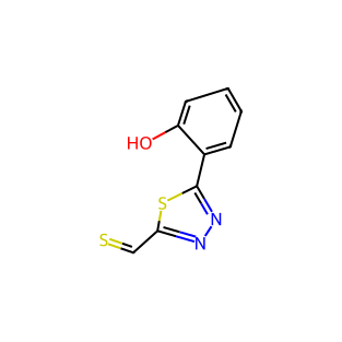 Oc1ccccc1-c1nnc(C=S)s1